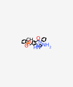 COP(=O)(Cc1ccc(C(=O)N(c2ccccc2)c2n[nH]cc2N)cc1)c1ccccc1